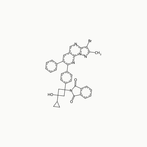 Cc1nn2c(ncc3cc(-c4ccccc4)c(-c4ccc(C5(N6C(=O)c7ccccc7C6=O)CC(O)(C6CC6)C5)cc4)nc32)c1Br